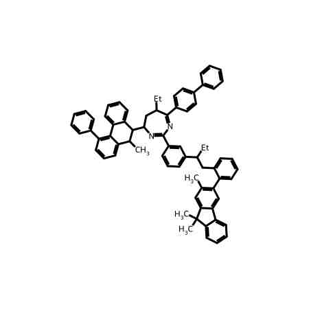 CCC1CC(C2c3ccccc3-c3c(-c4ccccc4)cccc3C2C)N=C(c2cccc(C(CC)Cc3ccccc3-c3cc4c(cc3C)C(C)(C)c3ccccc3-4)c2)N=C1c1ccc(-c2ccccc2)cc1